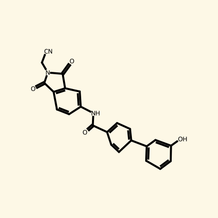 N#CCN1C(=O)c2ccc(NC(=O)c3ccc(-c4cccc(O)c4)cc3)cc2C1=O